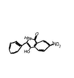 O=c1[nH]c(-c2ccccc2)c(O)c2ccc([N+](=O)[O-])cc12